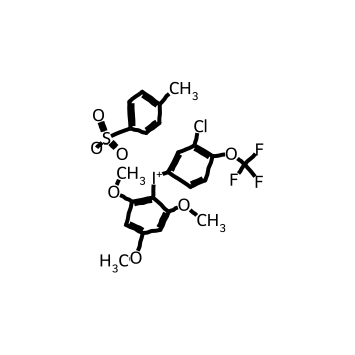 COc1cc(OC)c([I+]c2ccc(OC(F)(F)F)c(Cl)c2)c(OC)c1.Cc1ccc(S(=O)(=O)[O-])cc1